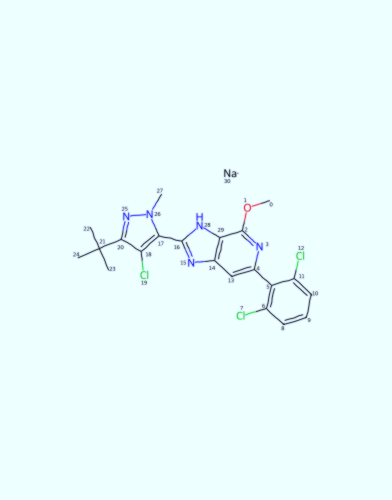 COc1nc(-c2c(Cl)cccc2Cl)cc2nc(-c3c(Cl)c(C(C)(C)C)nn3C)[nH]c12.[Na]